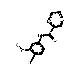 COc1cc(NC(=O)c2cnccn2)ccc1Cl